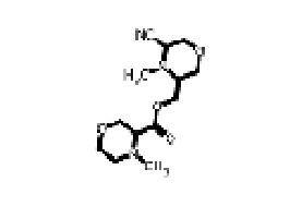 CN1CCOCC1C(=O)OCC1COCC(C#N)N1C